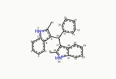 Cc1[nH]c2ccccc2c1C(c1ccccc1)c1c(C)[nH]c2ccccc12